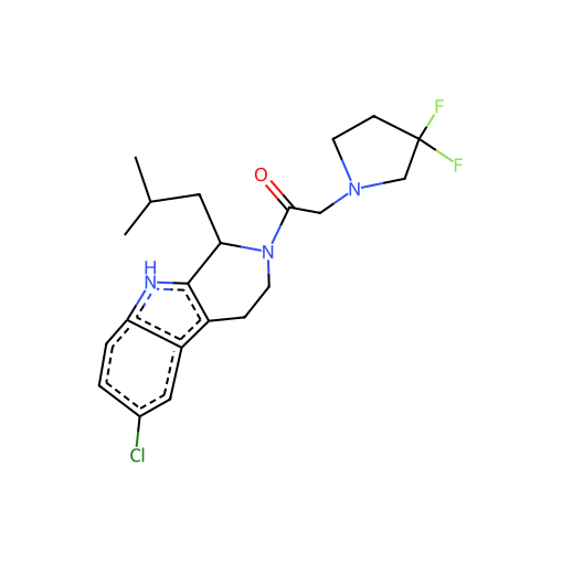 CC(C)CC1c2[nH]c3ccc(Cl)cc3c2CCN1C(=O)CN1CCC(F)(F)C1